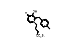 CCOC(=O)CCCn1ccc(=O)c(O)c1Cc1ccc(C)cc1